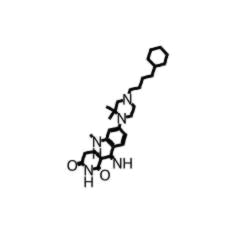 CNc1cc(N2CCN(CCCCC3CCCCC3)CC2(C)C)ccc1C(=N)C1CCC(=O)NC1=O